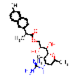 CC1=C[C@H](NC(=N)N)[C@@H](C)[C@H]([C@H](O)[C@H](O)COC(=O)[C@@H](C)c2ccc3cc(C)ccc3c2)O1